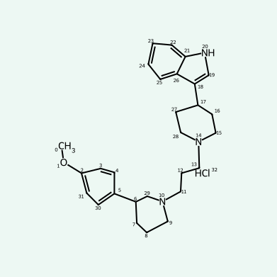 COc1ccc(C2CCCN(CCCN3CCC(c4c[nH]c5ccccc45)CC3)C2)cc1.Cl